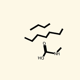 CCCC.CCCCCCC.CNC(=O)O